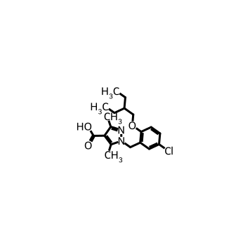 CCC(CC)COc1ccc(Cl)cc1Cn1nc(C)c(C(=O)O)c1C